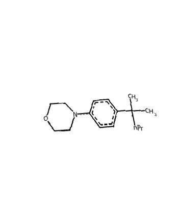 CCCC(C)(C)c1ccc(N2CCOCC2)cc1